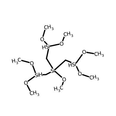 CO[SiH](C[Si](C[SiH](OC)OC)(C[SiH](OC)OC)OC)OC